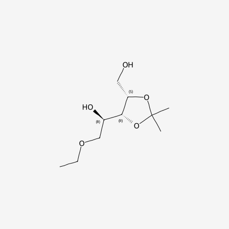 CCOC[C@@H](O)[C@H]1OC(C)(C)O[C@H]1CO